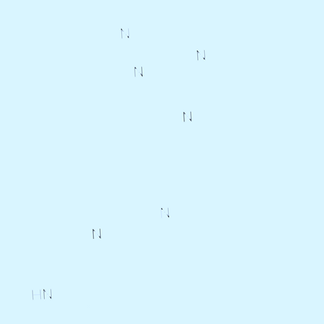 c1ccc(CN(c2ccc(N3CCNCC3)nc2)c2nccnn2)cc1